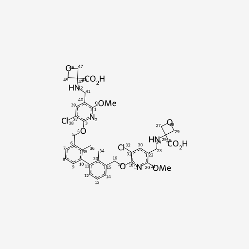 COc1nc(OCc2cccc(-c3cccc(COc4nc(OC)c(CNC5(C(=O)O)COC5)cc4Cl)c3C)c2C)c(Cl)cc1CNC1(C(=O)O)COC1